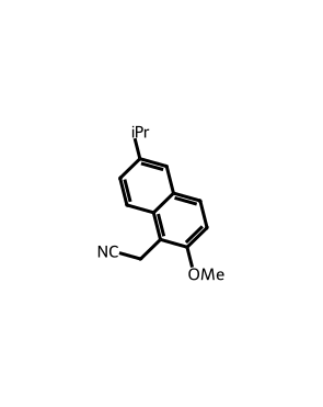 COc1ccc2cc(C(C)C)ccc2c1CC#N